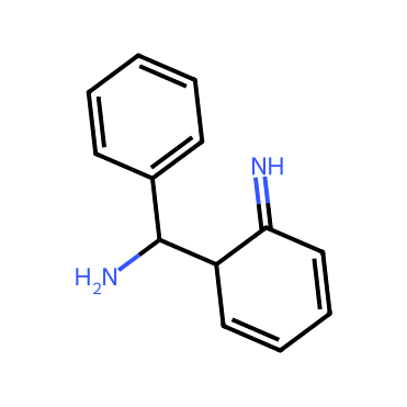 N=C1C=CC=CC1C(N)c1ccccc1